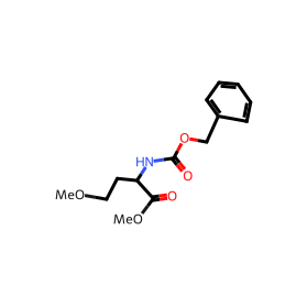 COCCC(NC(=O)OCc1ccccc1)C(=O)OC